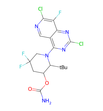 CC(C)(C)C1C(OC(N)=O)CC(F)(F)CN1c1nc(Cl)nc2c(F)c(Cl)ncc12